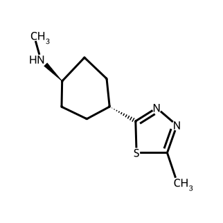 CN[C@H]1CC[C@H](c2nnc(C)s2)CC1